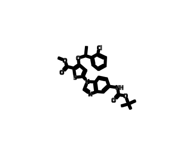 COC(=O)c1sc(-n2cnc3cc(NC(=O)OC(C)(C)C)ccc32)cc1OC(C)c1ccccc1Cl